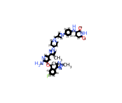 Cc1cn(C2CCN(CC3CN(c4ccc(NC5CCC(=O)NC5=O)cc4)C3)CC2)nc1-c1cnc(N)c(O[C@H](C)c2cc(F)ccc2-c2cnn(C)n2)c1